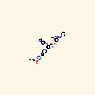 COC(=O)N1CCN(C2CC3(CCN(c4ccc(C(=O)NS(=O)(=O)c5cnc(NC[C@H]6CC[C@@H](C)CC6)c([N+](=O)[O-])c5)c(Oc5cnc6[nH]ccc6c5)c4)CC3)C2)CC1